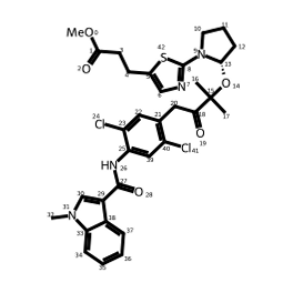 COC(=O)CCc1cnc(N2CCC[C@@H]2OC(C)(C)C(=O)Cc2cc(Cl)c(NC(=O)c3cn(C)c4ccccc34)cc2Cl)s1